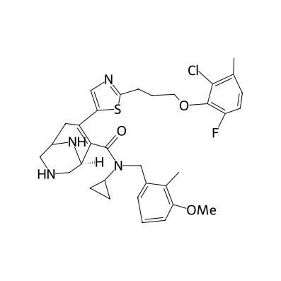 COc1cccc(CN(C(=O)C2=C(c3cnc(CCCOc4c(F)ccc(C)c4Cl)s3)CC3CNC[C@H]2N3)C2CC2)c1C